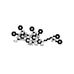 CC(=O)N[C@@H]1[C@H](O[C@H]2[CH][C@H](C)O[C@@H](O[C@@H]3[C@@H](NC(C)=O)[C@@H](O[C@@H]4[C@H](O)[C@@H](O)[C@@H](OCCCCCN(Cc5ccccc5)C(=O)OCc5ccccc5)O[C@@H]4COCc4ccccc4)O[C@@H]4CO[C@H](c5ccccc5)O[C@H]34)[C@H]2NC(C)=O)O[C@@H]2CO[C@@H](c3ccccc3)O[C@H]2[C@@H]1OCc1ccccc1